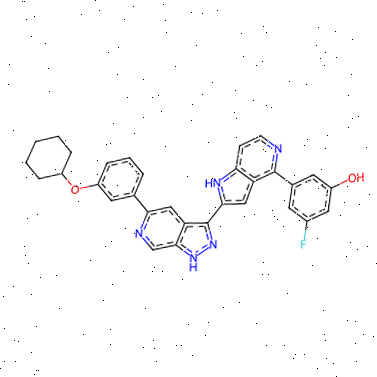 Oc1cc(F)cc(-c2nccc3[nH]c(-c4n[nH]c5cnc(-c6cccc(OC7CCCCC7)c6)cc45)cc23)c1